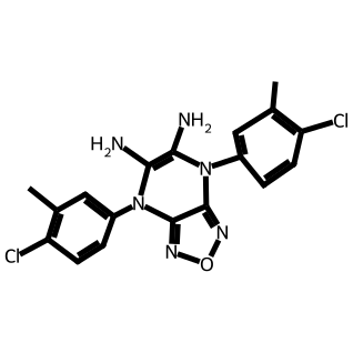 Cc1cc(N2C(N)=C(N)N(c3ccc(Cl)c(C)c3)c3nonc32)ccc1Cl